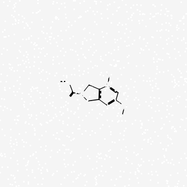 COC(=O)N1Cc2cc(OC)c[n+]([O-])c2C1